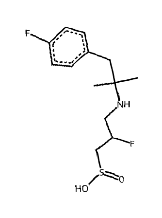 CC(C)(Cc1ccc(F)cc1)NCC(F)CS(=O)O